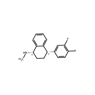 CN[C@H]1CC[C@@H](c2ccc(F)c(F)c2)c2ccccc21